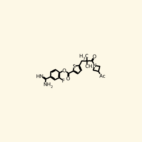 CC(=O)C1CN(C(=O)C(C)(C)Cc2ccc(C(=O)Oc3ccc(C(=N)N)cc3F)s2)C1